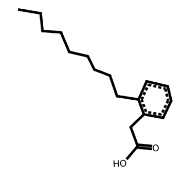 CCCCCCCCCc1ccccc1CC(=O)O